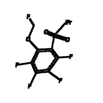 CC(C)S(=O)(=O)c1c(F)c(F)c(F)c(F)c1OCF